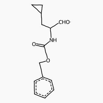 O=[C]C(CC1CC1)NC(=O)OCc1ccccc1